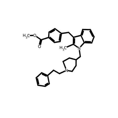 COC(=O)c1ccc(Cc2c(C)n(CC3CCN(CCc4ccccc4)CC3)c3ccccc23)cc1